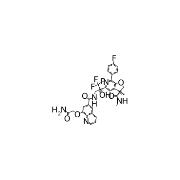 CNC(=O)[C@@]1(C)COc2c1cc([C@@](O)(CNC(=O)c1cc(OCC(N)=O)c3ncccc3c1)C(F)(F)F)nc2-c1ccc(F)cc1